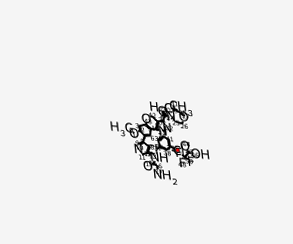 COc1cc2c(cc1-c1cncc(NC(=O)CN)c1)-c1c(c(C(=O)N3CCOCC3(C)C)nn1-c1cc(Cl)cc(Cl)c1)CO2.O=C(O)C(F)(F)F